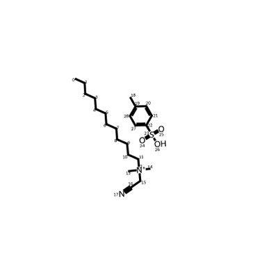 CCCCCCCCCCCC[N+](C)(C)CC#N.Cc1ccc(S(=O)(=O)O)cc1